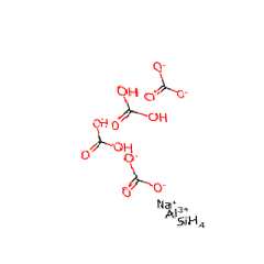 O=C(O)O.O=C(O)O.O=C([O-])[O-].O=C([O-])[O-].[Al+3].[Na+].[SiH4]